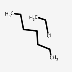 CCCCCCC.CCCl